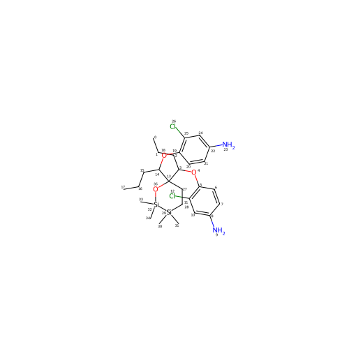 CCCC(Oc1ccc(N)cc1Cl)C1(C(CCC)Oc2ccc(N)cc2Cl)CC[Si](C)(C)[Si](C)(C)O1